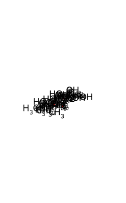 CC(C)C[C@H](NC(=O)[C@H](CO)NC(=O)[C@@H](N)CC(C)C)C(=O)N1CCC[C@H]1C(=O)N[C@@H](CO)C(=O)N[C@@H](CO)C(=O)N[C@@H](Cc1c[nH]c2ccccc12)C(=O)N[C@@H](CC(=O)O)C(=O)N[C@@H](Cc1ccc(O)cc1)C(=O)O